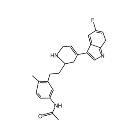 CC(=O)Nc1ccc(C)c(CCC2CC(C3=CN=C4CC=C(F)C=C34)=CCN2)c1